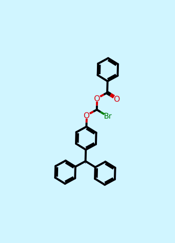 O=C(OC(Br)Oc1ccc([C](c2ccccc2)c2ccccc2)cc1)c1ccccc1